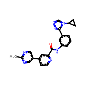 COc1ncc(-c2ccnc(C(=O)Nc3cccc(-c4nncn4C4CC4)c3)c2)cn1